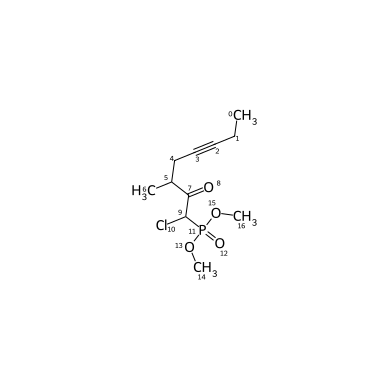 CCC#CCC(C)C(=O)C(Cl)P(=O)(OC)OC